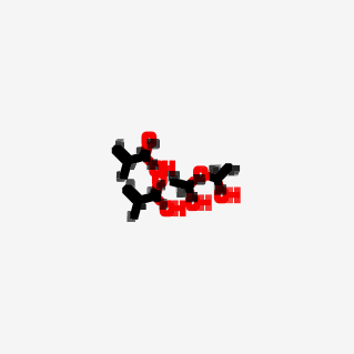 C=C(C)C(=O)O.C=C(C)C(=O)O.CC(O)OC(C)O